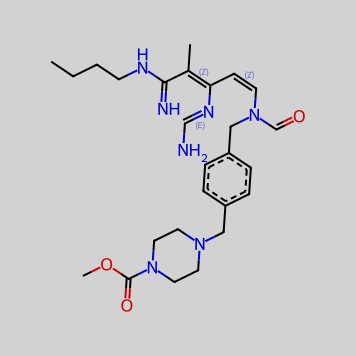 CCCCNC(=N)/C(C)=C(/C=C\N(C=O)Cc1ccc(CN2CCN(C(=O)OC)CC2)cc1)\N=C\N